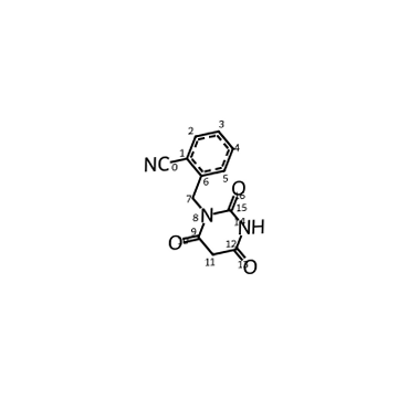 N#Cc1ccccc1CN1C(=O)CC(=O)NC1=O